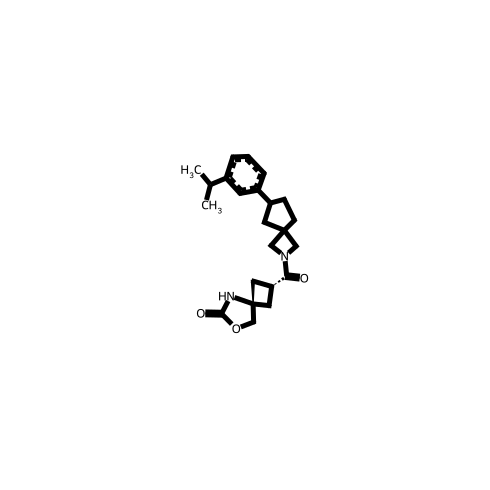 CC(C)c1cccc(C2CCC3(C2)CN(C(=O)[C@H]2C[C@]4(COC(=O)N4)C2)C3)c1